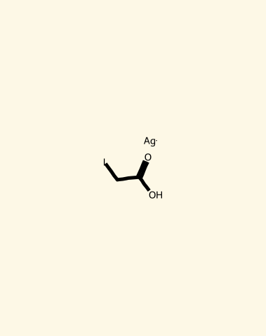 O=C(O)CI.[Ag]